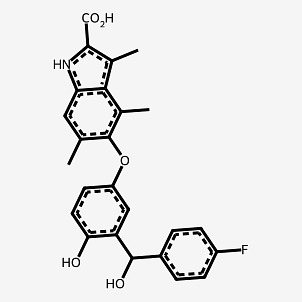 Cc1cc2[nH]c(C(=O)O)c(C)c2c(C)c1Oc1ccc(O)c(C(O)c2ccc(F)cc2)c1